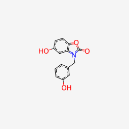 O=c1oc2ccc(O)cc2n1Cc1cccc(O)c1